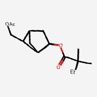 CCC(C)(C)C(=O)OC1CC2CC1CC2COC(C)=O